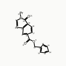 CC(C)n1cnc2cc(C(=O)OCc3ccccc3)ccc2c1=O